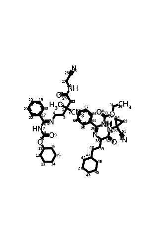 CC(C)(CCN=C(NC(=O)OC1CCCCC1)c1ccccc1)CC(=O)NCC#N.CCOC(=O)NC(=NC(CCC1CCCCC1)C(=O)NC1(C#N)CC1)c1ccccc1